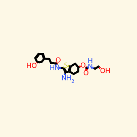 Nc1c(NC(=O)CCC2=CC=CC(O)C2)sc2c1CCC(OC(=O)NCCO)C2